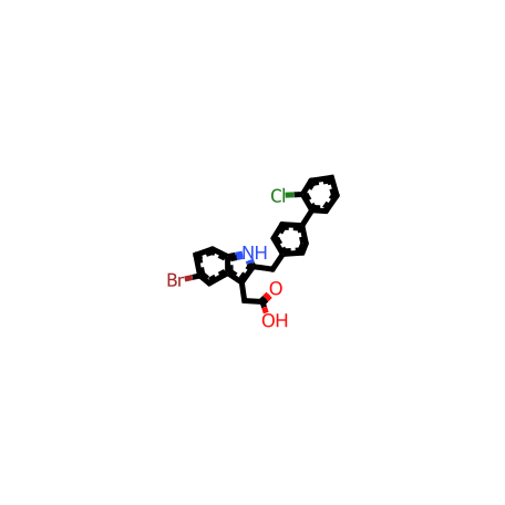 O=C(O)Cc1c(Cc2ccc(-c3ccccc3Cl)cc2)[nH]c2ccc(Br)cc12